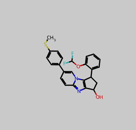 CSc1ccc(-c2ccc3nc4c(n3c2)C(c2ccccc2OC(F)F)CC4O)cc1